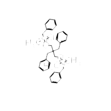 C[Si](C)(Cc1ccccc1)OCC(CO[Si](C)(C)Cc1ccccc1)(Cc1ccccc1)Cc1ccccc1